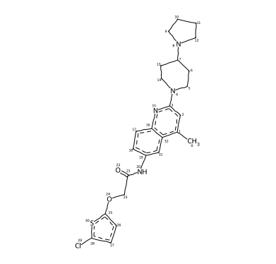 Cc1cc(N2CCC(N3CCCC3)CC2)nc2ccc(NC(=O)COc3ccc(Cl)s3)cc12